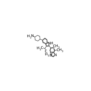 Cc1c(-c2[nH]c3ccc(C4CCC(N)CC4)cc3c2C(C)C)cn2ncnc2c1C